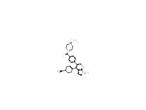 CN1CCN(C(=O)c2ccc(-c3cnc4[nH]ccc4c3C3=CCC(C#N)CC3)cc2)CC1